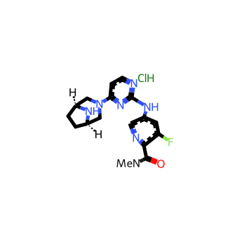 CNC(=O)c1ncc(Nc2nccc(N3C[C@H]4CC[C@@H](C3)N4)n2)cc1F.Cl